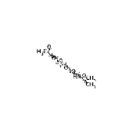 CC(C)CC(=O)NCCOCCOCCOCCOCCC(C)C=O